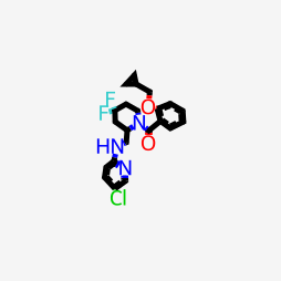 O=C(c1ccccc1OCC1CC1)N1CCC(F)(F)CC1CNc1ccc(Cl)cn1